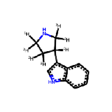 [2H]C1([2H])NC([2H])([2H])[C@]([2H])(c2c[nH]c3ccccc23)C1([2H])[2H]